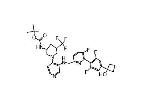 CC(C)(C)OC(=O)N[C@H]1C[C@@H](C(F)(F)F)CN(c2ccncc2NCc2ccc(F)c(-c3c(F)cc(C4(O)CCC4)cc3F)n2)C1